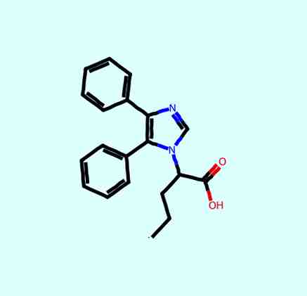 [CH2]CCC(C(=O)O)n1cnc(-c2ccccc2)c1-c1ccccc1